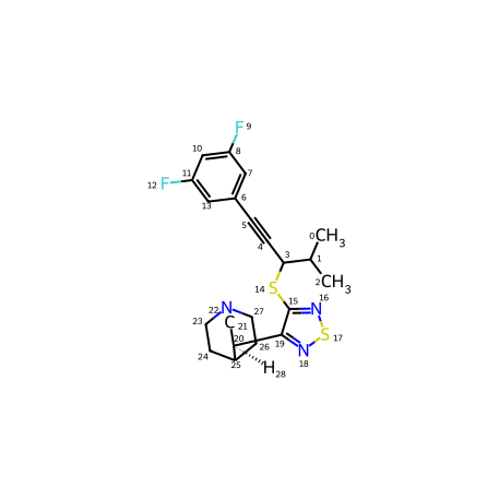 CC(C)C(C#Cc1cc(F)cc(F)c1)Sc1nsnc1[C@@H]1CN2CCC1CC2